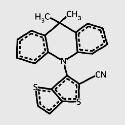 CC1(C)c2ccccc2N(c2c(C#N)sc3ccsc23)c2ccccc21